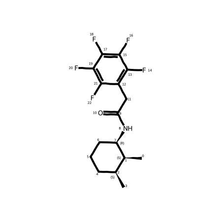 C[C@H]1[C@@H](C)CCC[C@H]1NC(=O)Cc1c(F)c(F)c(F)c(F)c1F